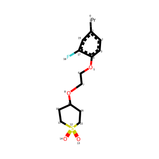 CC(C)c1ccc(OCCOC2CCS(=O)(=O)CC2)c(F)c1